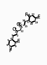 O=C(C=Cc1ccc(F)cc1F)C[S+]([O-])C=Cc1ccc(F)cc1F